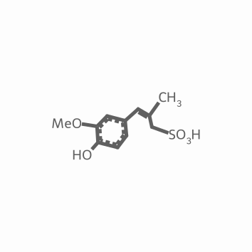 COc1cc(/C=C(/C)CS(=O)(=O)O)ccc1O